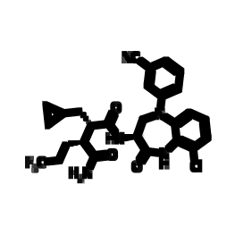 N#Cc1cccc(N2C[C@H](NC(=O)[C@@H](CC3CC3)[C@@H](CCC(F)(F)F)C(N)=O)C(=O)Nc3c(Cl)cccc32)c1